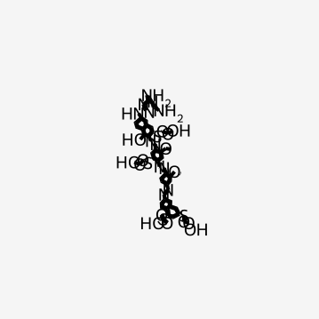 COc1cc(N=Nc2ccc3c(S(=O)(=O)O)cc(SOOO)cc3c2)ccc1N=Nc1cc(OC)c(N=Nc2c(SOOO)cc3cc(Nc4nc(N)nc(N)n4)ccc3c2O)cc1SOOO